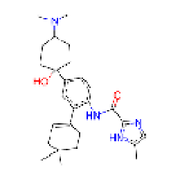 Cc1cnc(C(=O)Nc2ccc(C3(O)CCC(N(C)C)CC3)cc2C2=CCC(C)(C)CC2)[nH]1